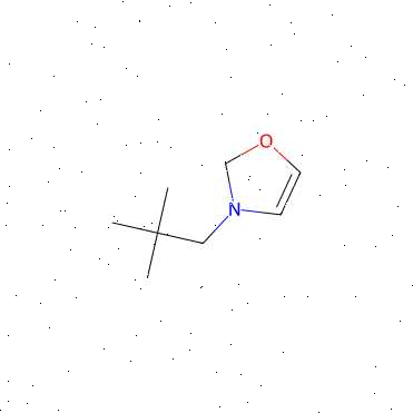 CC(C)(C)CN1C=COC1